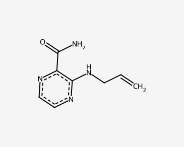 C=CCNc1nccnc1C(N)=O